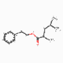 CC(C)CC(C)C(=O)OCCc1ccccc1